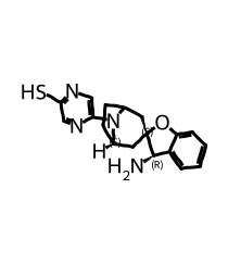 N[C@@H]1c2ccccc2O[C@]12CC1CC[C@@H](C2)N1c1cnc(S)cn1